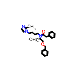 Cc1nccn1CCCCN(C(=O)Cc1ccccc1)[C@H]([C]=O)COCc1ccccc1